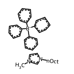 CCCCCCCCn1cc[n+](C)c1.c1ccc([B-](c2ccccc2)(c2ccccc2)c2ccccc2)cc1